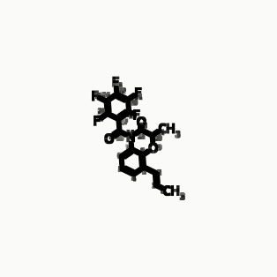 CC=Cc1cccc2c1OC(C)C(=O)N2C(=O)c1c(F)c(F)c(F)c(F)c1F